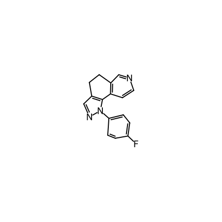 Fc1ccc(-n2ncc3c2-c2ccncc2CC3)cc1